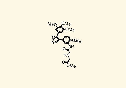 COC(=O)CNCC(=O)Nc1cc(-c2cnoc2-c2cc(OC)c(OC)c(OC)c2)ccc1OC